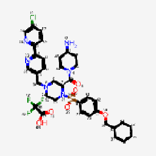 NC1CCN(C(=O)[C@@H]2CN(Cc3ccc(-c4ccc(Cl)cn4)nc3)CCN2S(=O)(=O)c2ccc(OCC3CCCCC3)cc2)CC1.O=C(O)C(F)(F)F